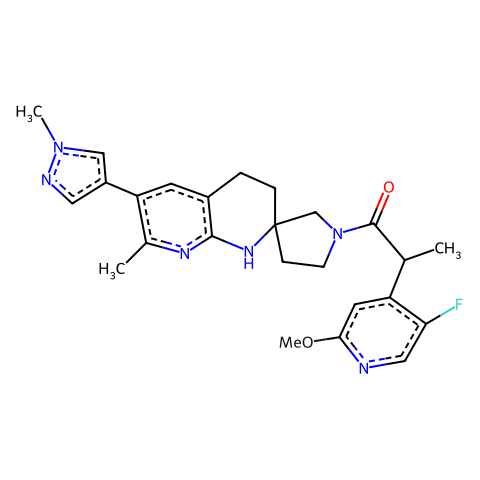 COc1cc(C(C)C(=O)N2CCC3(CCc4cc(-c5cnn(C)c5)c(C)nc4N3)C2)c(F)cn1